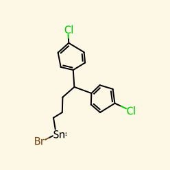 Clc1ccc(C(CC[CH2][Sn][Br])c2ccc(Cl)cc2)cc1